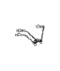 CCCCCCCCCCCCCCCCCCCCCCCC(=O)OCC(COC(=O)C(C)CCCCCCCCCCCCCCCCCCCCC)OC(=O)CCCCCCCCCCCCCCCCCCCCCCC